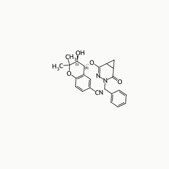 CC1(C)Oc2ccc(C#N)cc2[C@@H](OC2=NN(Cc3ccccc3)C(=O)C3CC23)[C@@H]1O